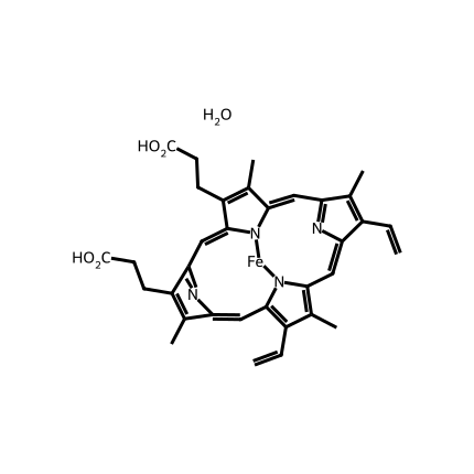 C=CC1=C(C)C2=NC/1=C\c1c(C)c(C=C)c3[n]1[Fe][n]1/c(c(C)c(CCC(=O)O)/c1=C/C1=NC(=C\3)/C(C)=C1CCC(=O)O)=C\2.O